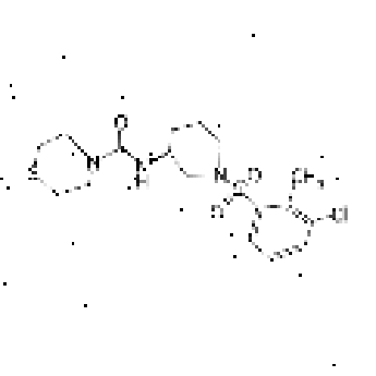 Cc1c(Cl)cccc1S(=O)(=O)N1CCC[C@H](NC(=O)N2CCSCC2)C1